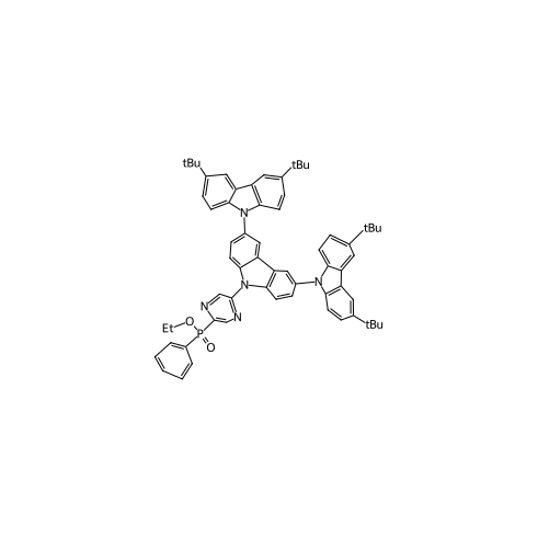 CCOP(=O)(c1ccccc1)c1cnc(-n2c3ccc(-n4c5ccc(C(C)(C)C)cc5c5cc(C(C)(C)C)ccc54)cc3c3cc(-n4c5ccc(C(C)(C)C)cc5c5cc(C(C)(C)C)ccc54)ccc32)cn1